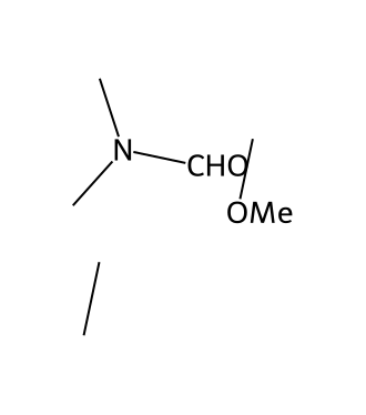 CC.CN(C)C=O.COC